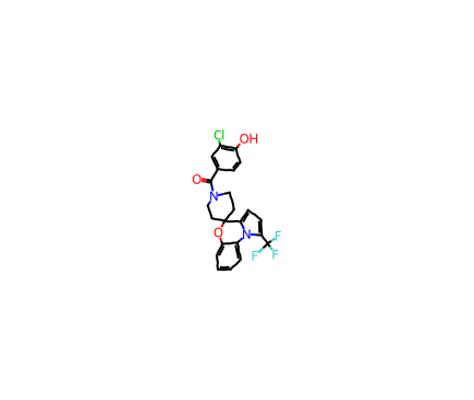 O=C(c1ccc(O)c(Cl)c1)N1CCC2(CC1)Oc1ccccc1-n1c(C(F)(F)F)ccc12